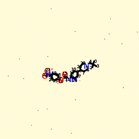 CC(C)(C)CN1CCC(c2ccc(NC(=O)Oc3ccc([N+](=O)[O-])cc3)cc2)CC1